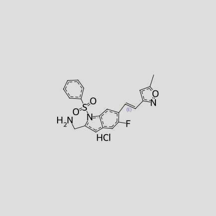 Cc1cc(/C=C/c2cc3c(cc2F)cc(CN)n3S(=O)(=O)c2ccccc2)no1.Cl